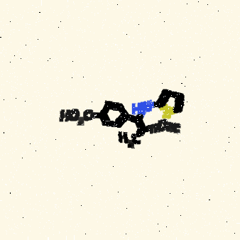 C=C(CCCCCCCCCC)C(Nc1cccs1)c1ccc(C(=O)O)cc1